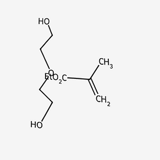 C=C(C)C(=O)OCC.OCCOCCO